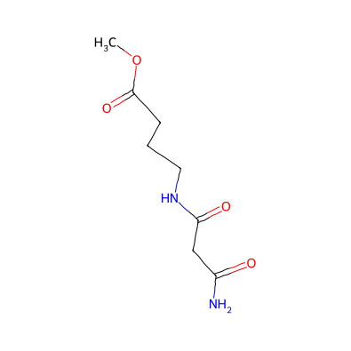 COC(=O)CCCNC(=O)CC(N)=O